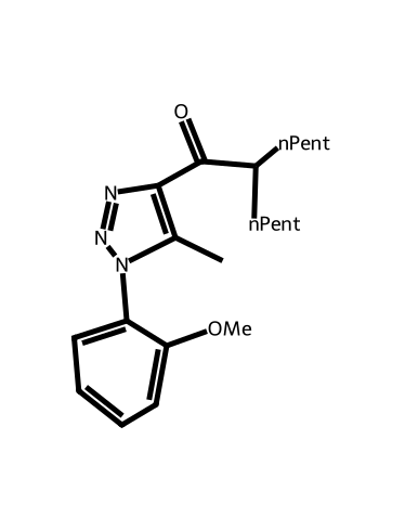 CCCCCC(CCCCC)C(=O)c1nnn(-c2ccccc2OC)c1C